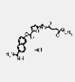 COC(=O)CCC(=O)NCc1ccc(C(=O)Oc2ccc3cc(C(=N)N)ccc3c2)o1.Cl